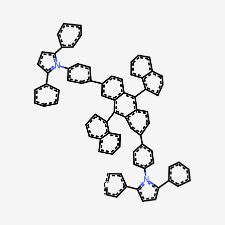 c1ccc(-c2ccc(-c3ccccc3)n2-c2ccc(-c3ccc4c(-c5cccc6ccccc56)c5ccc(-c6ccc(-n7c(-c8ccccc8)ccc7-c7ccccc7)cc6)cc5c(-c5cccc6ccccc56)c4c3)cc2)cc1